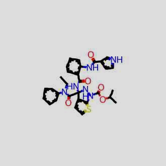 CCN(C(=O)C1(NC(=O)c2ccccc2NC(=O)c2cc[nH]c2)NN(C(=O)OC(C)C)c2sccc21)c1ccccc1